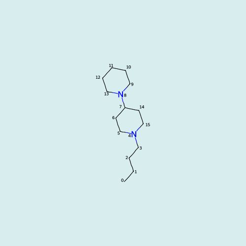 CCCCN1CCC(N2CCCCC2)CC1